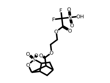 O=C(OCCOC(=O)C(F)(F)S(=O)(=O)O)C1C2CC3C1OS(=O)(=O)C3C2